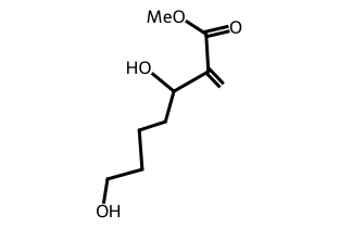 C=C(C(=O)OC)C(O)CCCCO